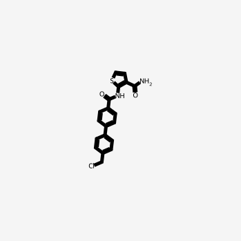 NC(=O)c1ccsc1NC(=O)c1ccc(-c2ccc(CCl)cc2)cc1